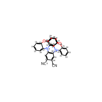 N#Cc1cc(N2c3ccccc3Oc3ccccc32)c(N2c3ccccc3Oc3ccccc32)cc1C#N